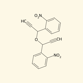 C#CC(OC(C#C)c1ccccc1[N+](=O)[O-])c1ccccc1[N+](=O)[O-]